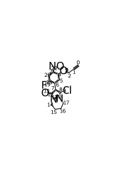 C#CCOc1cc(-c2c(Cl)n3n(c2=O)CCCC3)c(F)cc1[N+](=O)[O-]